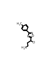 Cc1ccc(-c2noc(C(Cl)CCN)n2)cc1